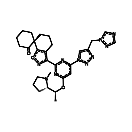 C[C@H](Oc1cc(-n2cc(Cn3cncn3)nn2)nc(-c2noc3c2CCC[C@@]32CCCCC2=O)n1)[C@@H]1CCCN1C